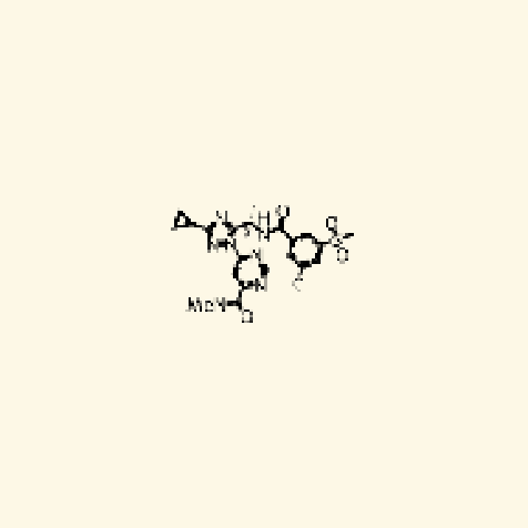 CNC(=O)c1cc(-n2nc(C3CC3)nc2[C@H](C)NC(=O)c2cc(Cl)cc(S(C)(=O)=O)c2)ncn1